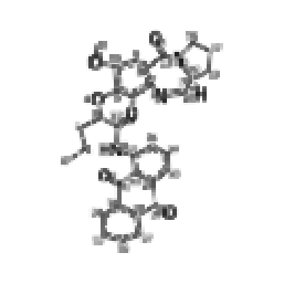 CCCC(Oc1cc2c(cc1OC)C(=O)N1CCC[C@H]1C=N2)C(=O)Nc1cccc2c1C(=O)c1ccccc1C2=O